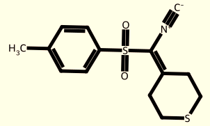 [C-]#[N+]C(=C1CCSCC1)S(=O)(=O)c1ccc(C)cc1